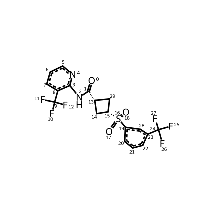 O=C(Nc1ncccc1C(F)(F)F)[C@H]1C[C@@H](S(=O)(=O)c2cccc(C(F)(F)F)c2)C1